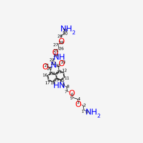 NCCOCCOCCNc1ccc2c3c(cccc13)C(=O)N(CNOCCOCCN)C2=O